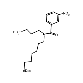 CCCCCCCCCCCCCCCCN(CCCS(=O)(=O)O)C(=O)c1cc[c]c([N+](=O)[O-])c1